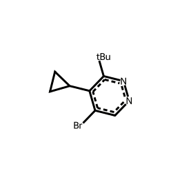 CC(C)(C)c1nncc(Br)c1C1CC1